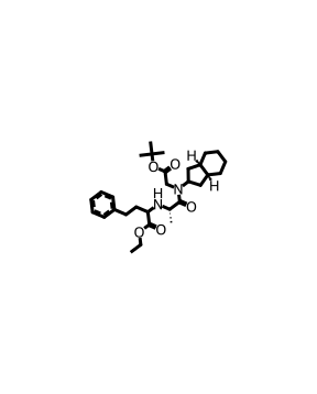 CCOC(=O)C(CCc1ccccc1)N[C@@H](C)C(=O)N(CC(=O)OC(C)(C)C)C1C[C@H]2CCCC[C@H]2C1